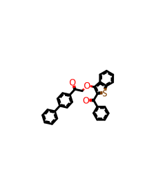 O=C(COc1c(C(=O)c2ccccc2)sc2ccccc12)c1ccc(-c2ccccc2)cc1